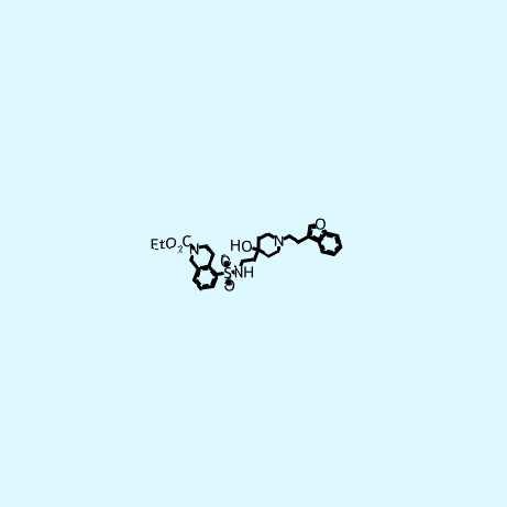 CCOC(=O)N1CCc2c(cccc2S(=O)(=O)NCCC2(O)CCN(CCc3coc4ccccc34)CC2)C1